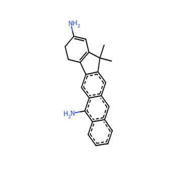 CC1(C)C2=C(CCC(N)=C2)c2cc3c(N)c4ccccc4cc3cc21